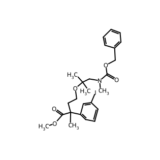 COC(=O)C(C)(CCOC(C)(C)CN(C)C(=O)OCc1ccccc1)c1cccc(I)c1